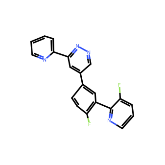 Fc1ccc(-c2cnnc(-c3ccccn3)c2)cc1-c1ncccc1F